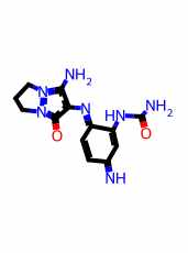 N=C1C=C/C(=N\c2c(N)n3n(c2=O)CCC3)C(NC(N)=O)=C1